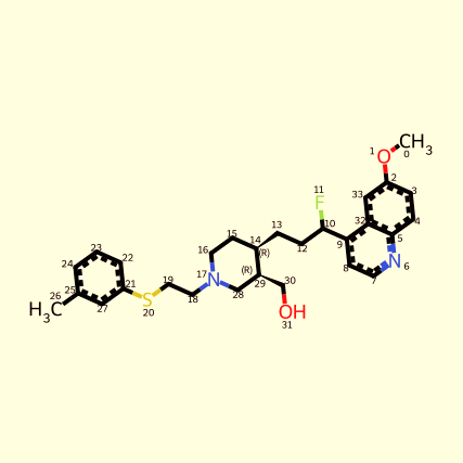 COc1ccc2nccc(C(F)CC[C@@H]3CCN(CCSc4cccc(C)c4)C[C@@H]3CO)c2c1